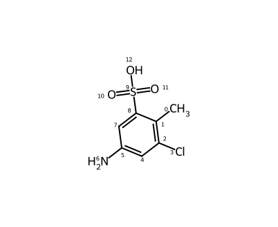 Cc1c(Cl)cc(N)cc1S(=O)(=O)O